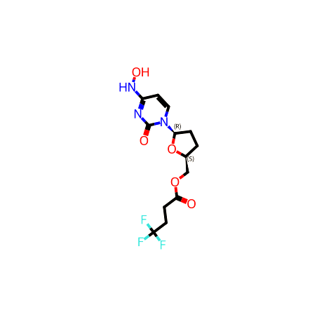 O=C(CCC(F)(F)F)OC[C@@H]1CC[C@H](n2ccc(NO)nc2=O)O1